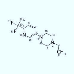 CCN1CCN(c2ccc(C(F)(F)F)nc2)CC1